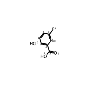 Cl.O=C(O)c1cccc(F)n1